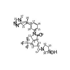 CC(c1cc2c(c(C(F)(F)F)c1)CN(c1cccc([C@H](C)Cc3nncn3C)c1)C2=O)N1CC[C@H](O)C1